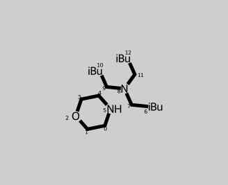 C1COCCN1.CCC(C)CN(CC(C)CC)CC(C)CC